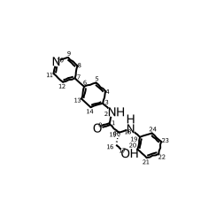 O=C(Nc1ccc(-c2ccncc2)cc1)[C@@H](CO)Nc1ccccc1